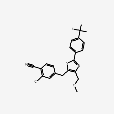 COCc1nc(-c2ccc(C(F)(F)F)cc2)sc1Cc1ccc(C#N)c(Cl)c1